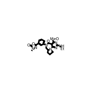 CCNc1nc(OC)c2c(n1)N1CCCC1CN(c1cccc(-c3nn(C)c(=O)o3)c1)C2=O